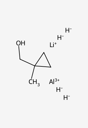 CC1(CO)CC1.[Al+3].[H-].[H-].[H-].[H-].[Li+]